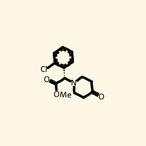 COC(=O)[C@H](c1ccccc1Cl)N1CCC(=O)CC1